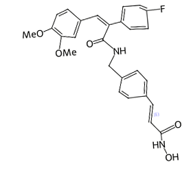 COc1ccc(C=C(C(=O)NCc2ccc(/C=C/C(=O)NO)cc2)c2ccc(F)cc2)cc1OC